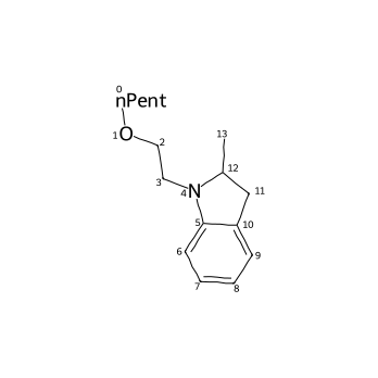 CCCCCOCCN1c2ccccc2CC1C